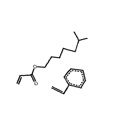 C=CC(=O)OCCCCCC(C)C.C=Cc1ccccc1